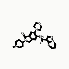 CN1CCC(N2Cc3cc(NC(=O)c4cnn5cccnc45)c(N4CCOCC4)cc3C2=O)CC1